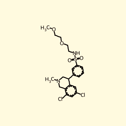 COCCOCCNS(=O)(=O)c1cccc(C2CN(C)Cc3c(Cl)cc(Cl)cc32)c1